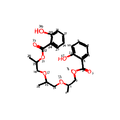 CC(COC(=O)c1ccccc1O)OCC(C)OCC(C)OC(=O)c1ccccc1O